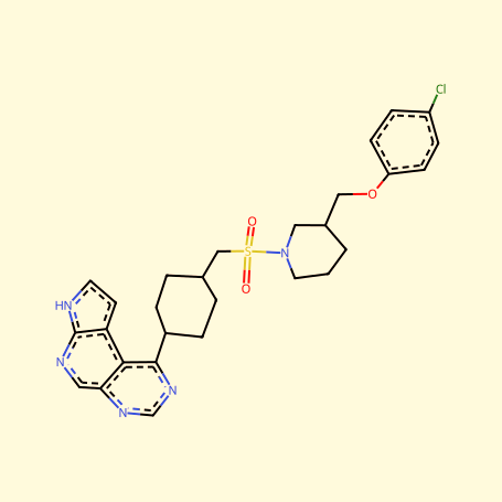 O=S(=O)(CC1CCC(c2ncnc3cnc4[nH]ccc4c23)CC1)N1CCCC(COc2ccc(Cl)cc2)C1